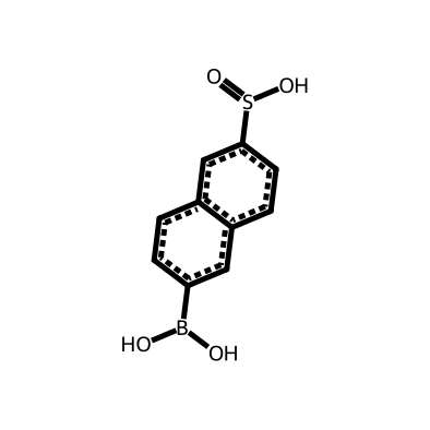 O=S(O)c1ccc2cc(B(O)O)ccc2c1